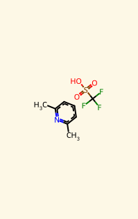 Cc1cccc(C)n1.O=S(=O)(O)C(F)(F)F